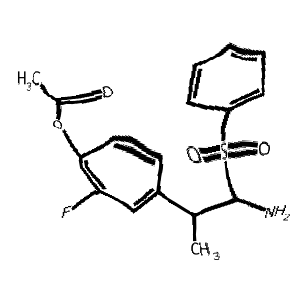 CC(=O)Oc1ccc(C(C)C(N)S(=O)(=O)c2ccccc2)cc1F